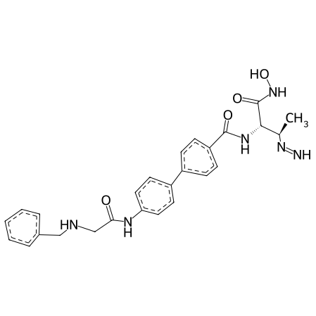 C[C@@H](N=N)[C@H](NC(=O)c1ccc(-c2ccc(NC(=O)CNCc3ccccc3)cc2)cc1)C(=O)NO